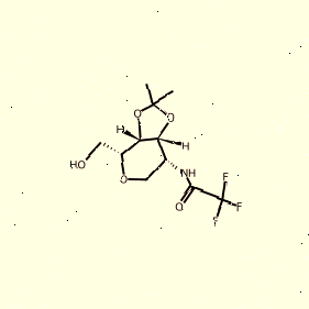 CC1(C)O[C@@H]2[C@H](O1)[C@H](NC(=O)C(F)(F)F)CO[C@@H]2CO